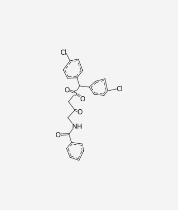 O=C(CNC(=O)c1ccccc1)CS(=O)(=O)C(c1ccc(Cl)cc1)c1ccc(Cl)cc1